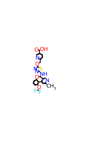 Cc1cc(-c2ccccc2OC(F)F)c(C(=O)Nc2nnc(OCc3ccc(C(=O)O)cn3)s2)cn1